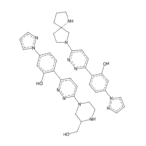 OCC1CN(c2ccc(-c3ccc(-n4cccn4)cc3O)nn2)CCN1.Oc1cc(-n2cccn2)ccc1-c1ccc(N2CCC3(CCCN3)C2)nn1